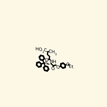 CCOc1ccc(OCC(=O)[C@H](CSC(c2ccccc2)(c2ccccc2)c2ccccc2)NC(=O)CC[C@H](C)C(=O)O)cc1